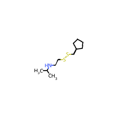 CC(C)NCCSSCC1CCCC1